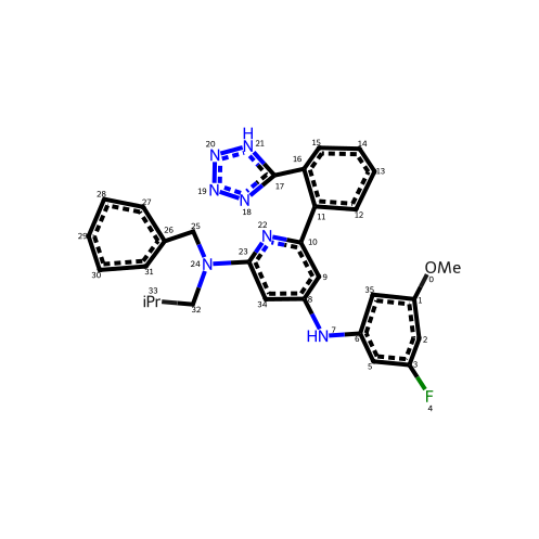 COc1cc(F)cc(Nc2cc(-c3ccccc3-c3nnn[nH]3)nc(N(Cc3ccccc3)CC(C)C)c2)c1